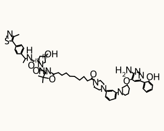 Cc1ncsc1-c1ccc(C(C)NC(=O)[C@@H]2C[C@@H](O)CN2C(=O)[C@@H](NC(=O)CCCCCCCCC(=O)N2CCN(c3cccc(N4CCCC(Oc5cc(-c6ccccc6O)nnc5N)C4)c3)CC2)C(C)(C)C)cc1